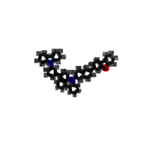 c1ccc(-c2ccccc2N(c2ccc(-c3cccc(-n4c5ccccc5c5ccccc54)c3)cc2)c2ccc3cc(-c4ccc5c(c4)oc4ccccc45)ccc3c2)cc1